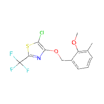 COc1c(C)cccc1COc1nc(C(F)(F)F)sc1Cl